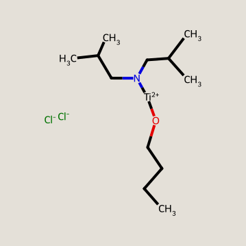 CCCC[O][Ti+2][N](CC(C)C)CC(C)C.[Cl-].[Cl-]